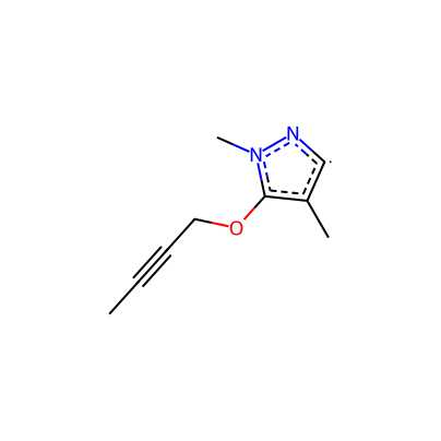 CC#CCOc1c(C)[c]nn1C